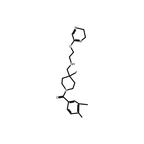 Cc1ccc(C(=O)N2CCC(F)(CNCCOC3=NCCN=C3)CC2)cc1C